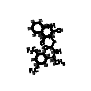 C[C@H](NC(=O)Cn1c(=O)[nH]c2ccccc2c1=O)c1cc(C(F)(F)F)cc(C(F)(F)F)c1